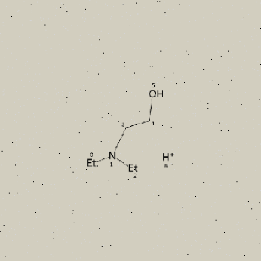 CCN(CC)CCO.[H+]